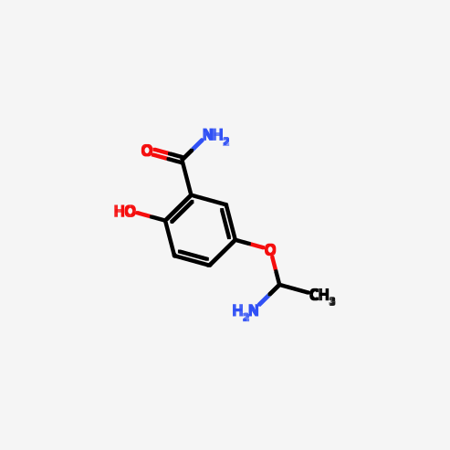 CC(N)Oc1ccc(O)c(C(N)=O)c1